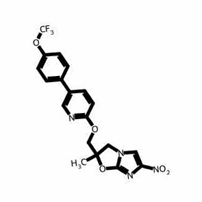 CC1(COc2ccc(-c3ccc(OC(F)(F)F)cc3)cn2)Cn2cc([N+](=O)[O-])nc2O1